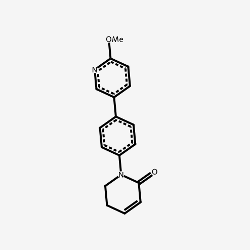 COc1ccc(-c2ccc(N3CCC=CC3=O)cc2)cn1